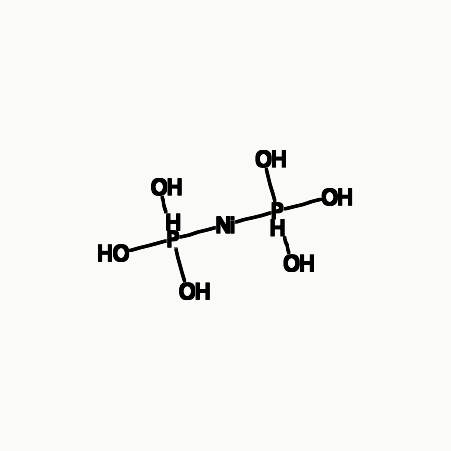 O[PH](O)(O)[Ni][PH](O)(O)O